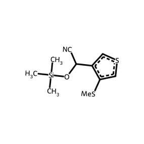 CSc1cscc1C(C#N)O[Si](C)(C)C